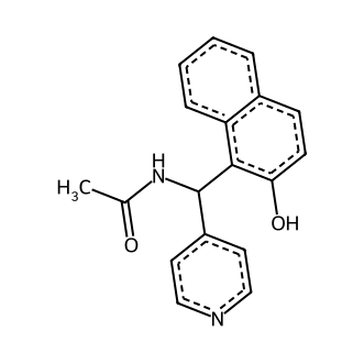 CC(=O)NC(c1ccncc1)c1c(O)ccc2ccccc12